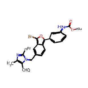 CCCc1nc(C)c(C=O)n1Cc1ccc2c(-c3cccc(NC(=O)OC(C)(C)C)c3)oc(Br)c2c1